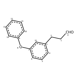 O=CCCc1cccc(Oc2ccccc2)c1